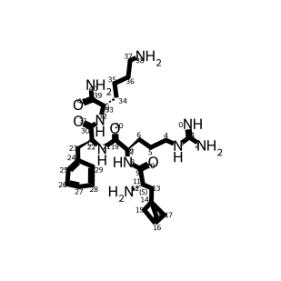 N=C(N)NCCC[C@@H](NC(=O)[C@@H](N)CC12CC(C1)C2)C(=O)N[C@@H](Cc1ccccc1)C(=O)N[C@@H](CCCCN)C(N)=O